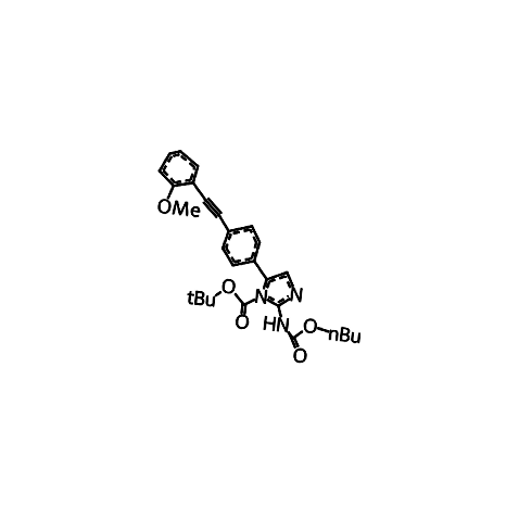 CCCCOC(=O)Nc1ncc(-c2ccc(C#Cc3ccccc3OC)cc2)n1C(=O)OC(C)(C)C